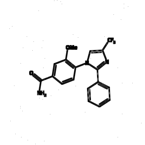 COc1cc(C(N)=O)ccc1-n1cc(C(F)(F)F)nc1-c1ccccc1